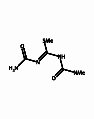 CNC(=O)NC(=NC(N)=O)SC